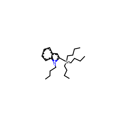 CCCCn1[c]([Sn]([CH2]CCC)([CH2]CCC)[CH2]CCC)cc2ccccc21